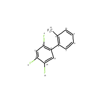 Fc1cc(F)c(-c2ccc[c]c2C(F)(F)F)cc1F